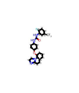 O=C(Nc1ccc(Oc2cccc3ccc4nccn4c23)cc1)Nc1cc(C(F)(F)F)ccc1F